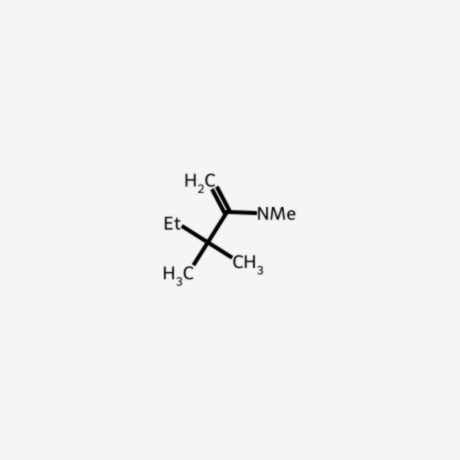 C=C(NC)C(C)(C)CC